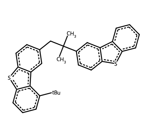 CC(C)(C)c1cccc2sc3ccc(CC(C)(C)c4ccc5sc6ccccc6c5c4)cc3c12